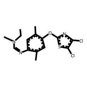 CCN(C)/C=N\c1cc(C)c(Oc2nc(Cl)c(Cl)s2)cc1C